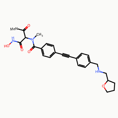 CNC(=O)C(C(=O)NO)N(C)C(=O)c1ccc(C#Cc2ccc(CNCC3CCCO3)cc2)cc1